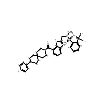 CN(Cc1nc2cccc(C(=O)N3CCC4(CCC(c5ccncc5)CC4)CC3)c2[nH]1)S(=O)(=O)c1ccccc1C(F)(F)F